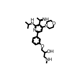 CNCC(O)COc1cccc(-c2cc(N3CCOCC3)c(C(C)=N)c(NC(C)C)n2)c1